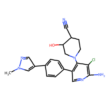 Cn1cc(-c2ccc(-c3cnc(N)c(Cl)c3N3CCC(C#N)C(O)C3)cc2)cn1